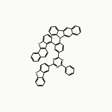 c1ccc(-c2nc(-c3ccc(-n4c5ccccc5c5cc6ccccc6cc54)c(-c4cccc5sc6c7ccccc7ccc6c45)c3)nc(-c3ccc4sc5ccccc5c4c3)n2)cc1